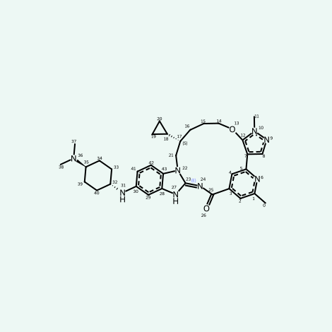 Cc1cc2cc(n1)-c1cnn(C)c1OCCC[C@@H](C1CC1)CN1/C(=N/C2=O)Nc2cc(N[C@H]3CC[C@H](N(C)C)CC3)ccc21